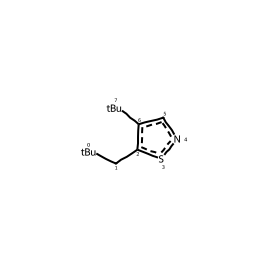 CC(C)(C)Cc1sncc1C(C)(C)C